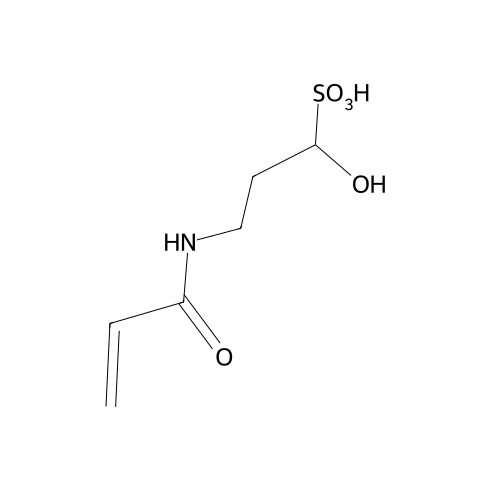 C=CC(=O)NCCC(O)S(=O)(=O)O